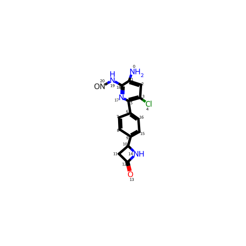 Nc1cc(Cl)c(-c2ccc(C3CC(=O)N3)cc2)nc1NN=O